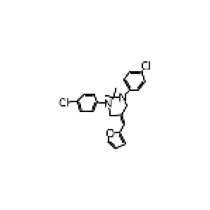 CC1(C)N(c2ccc(Cl)cc2)CC(=Cc2ccco2)CN1c1ccc(Cl)cc1